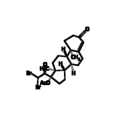 CC(=O)O[C@@]1(C(=O)C(Br)Br)CC[C@H]2[C@@H]3CCC4=CC(=O)CC[C@]4(C)[C@H]3CC[C@@]21C